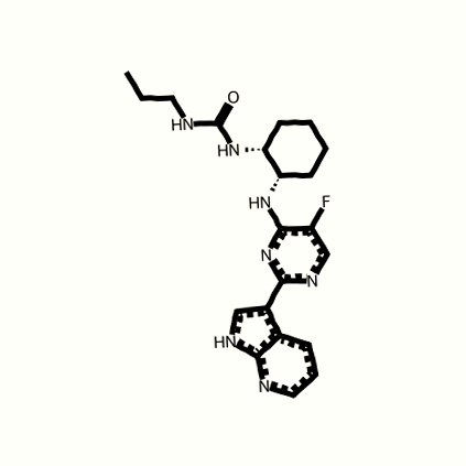 CCCNC(=O)N[C@@H]1CCCC[C@@H]1Nc1nc(-c2c[nH]c3ncccc23)ncc1F